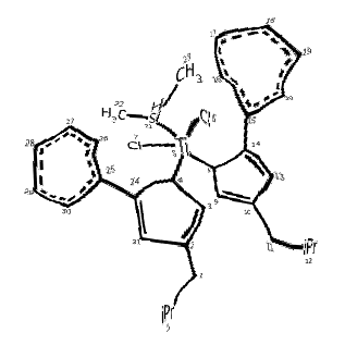 CC(C)CC1=C[CH]([Ti]([Cl])([Cl])([CH]2C=C(CC(C)C)C=C2c2ccccc2)[SiH](C)C)C(c2ccccc2)=C1